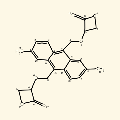 Cc1ccc2c(COC3COC3=O)c3cc(C)ccc3c(COC3COC3=O)c2c1